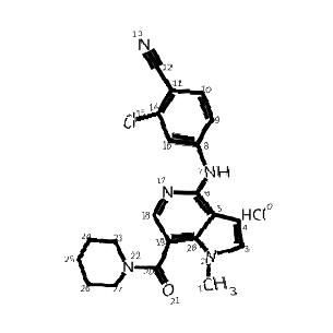 Cl.Cn1ccc2c(Nc3ccc(C#N)c(Cl)c3)ncc(C(=O)N3CCCCC3)c21